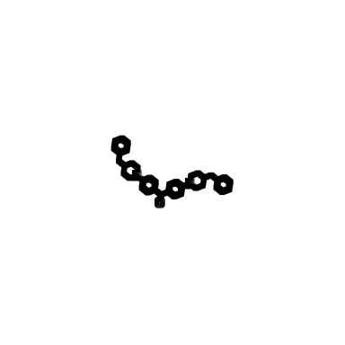 O=C(c1ccc(N2CCC(Cc3ccccc3)CC2)cc1)c1ccc(N2CCC(Cc3ccccc3)CC2)cc1